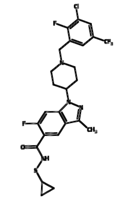 Cc1nn(C2CCN(Cc3cc(C(F)(F)F)cc(Cl)c3F)CC2)c2cc(F)c(C(=O)NSC3CC3)cc12